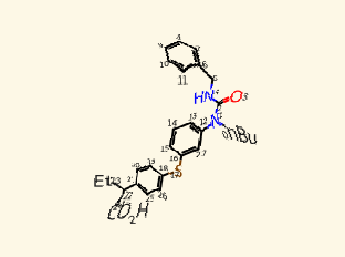 CCCCN(C(=O)NCc1ccccc1)c1cccc(Sc2ccc(C(CC)C(=O)O)cc2)c1